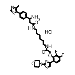 Cc1ncsc1-c1ccc(C(N)CC(=O)NCCCCCCNC(=O)COc2c(-c3csc(N4CCOCC4)n3)ccc(F)c2F)cc1.Cl